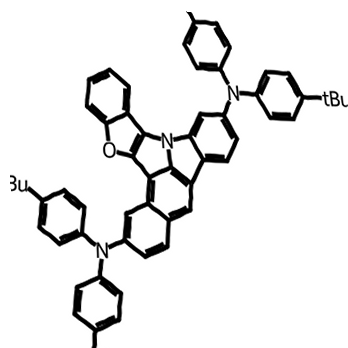 CC(C)(C)c1ccc(N(c2ccc(C(C)(C)C)cc2)c2ccc3cc4c5ccc(N(c6ccc(C(C)(C)C)cc6)c6ccc(C(C)(C)C)cc6)cc5n5c6c7ccccc7oc6c(c3c2)c45)cc1